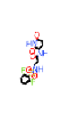 O=C1CCC(NC(=O)CCNS(=O)(=O)c2c(F)cccc2F)C(=O)N1